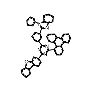 c1ccc(-n2c(-c3cccc(-c4nc(-c5ccc6c(c5)oc5ccccc56)nc(-c5cccc6c7ccccc7c7ccccc7c56)n4)c3)nc3ccccc32)cc1